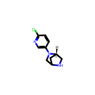 Clc1ccc(N2CC3C[C@H]2CN3)cn1